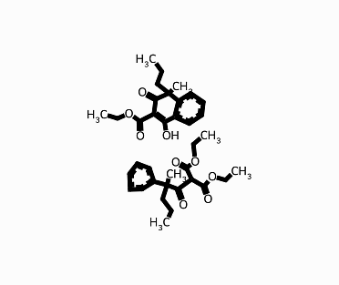 CCCC(C)(C(=O)C(C(=O)OCC)C(=O)OCC)c1ccccc1.CCCC1(C)C(=O)C(C(=O)OCC)=C(O)c2ccccc21